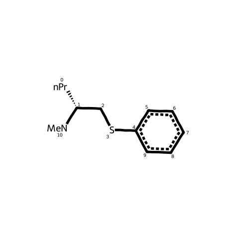 CCC[C@H](CSc1ccccc1)NC